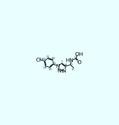 CC(NC(=O)O)c1cn(-c2ccc(Cl)cc2)nn1